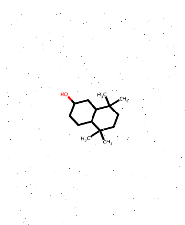 CC1(C)CCC(C)(C)C2CC(O)CCC21